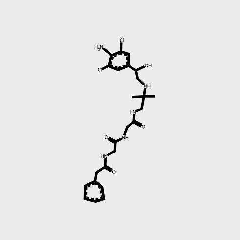 CC(C)(CNC(=O)CNC(=O)CNC(=O)Cc1ccccc1)NCC(O)c1cc(Cl)c(N)c(Cl)c1